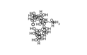 NNC(=O)CCCO[C@@H]1OC(CO[C@H]2OC(CO[C@H]3OC(CO)[C@@H](O)[C@H](O)C3O[C@H]3OC(CO)[C@@H](O)[C@H](O)C3O)[C@@H](O)[C@H](O)C2O)[C@@H](O)[C@H](O[C@H]2OC(CO)[C@@H](O)[C@H](O)C2O[C@H]2OC(CO)[C@@H](O)[C@H](O)C2OC(=O)c2ccccc2)C1O